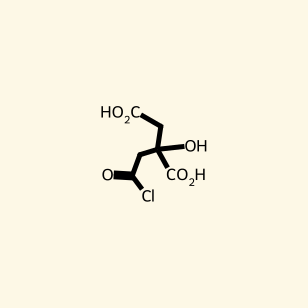 O=C(O)CC(O)(CC(=O)Cl)C(=O)O